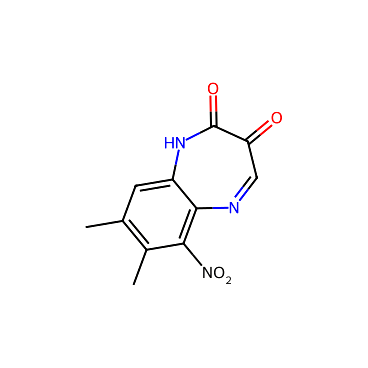 Cc1cc2[nH]c(=O)c(=O)cnc2c([N+](=O)[O-])c1C